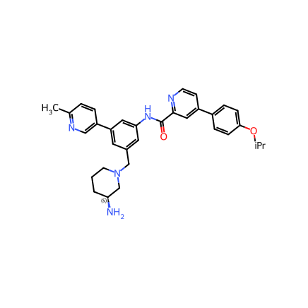 Cc1ccc(-c2cc(CN3CCC[C@H](N)C3)cc(NC(=O)c3cc(-c4ccc(OC(C)C)cc4)ccn3)c2)cn1